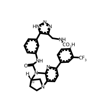 O=C(O)NCc1nn[nH]c1-c1cccc(NC(=O)N2c3nc(-c4cccc(C(F)(F)F)c4)ccc3N3CC[C@H]2C3)c1